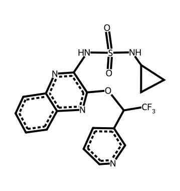 O=S(=O)(Nc1nc2ccccc2nc1OC(c1cccnc1)C(F)(F)F)NC1CC1